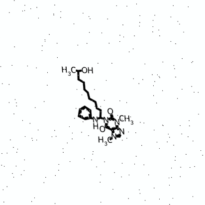 CC(O)CCCCCCCCC(Nc1ccccc1)n1c(=O)c2c(ncn2C)n(C)c1=O